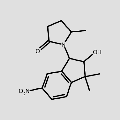 CC1CCC(=O)N1C1c2cc([N+](=O)[O-])ccc2C(C)(C)C1O